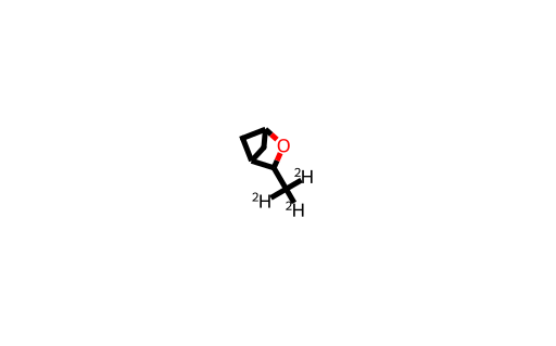 [2H]C([2H])([2H])C1OC2CC1C2